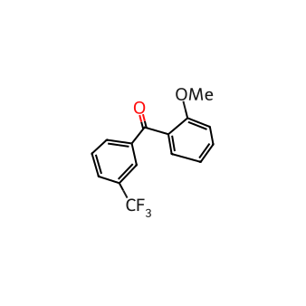 COc1ccccc1C(=O)c1cccc(C(F)(F)F)c1